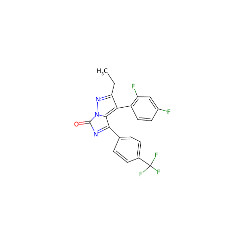 CCc1nn2c(c1-c1ccc(F)cc1F)C(c1ccc(C(F)(F)F)cc1)=NC2=O